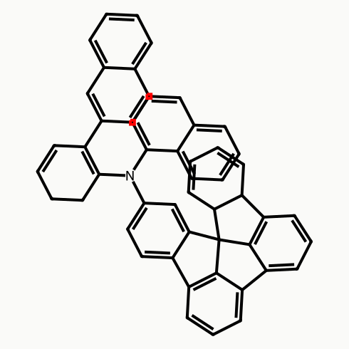 C1=CC2c3cccc4c3C3(c5cc(N(C6=C(c7ccc8ccccc8c7)C=CCC6)c6cccc7ccccc67)ccc5-c5cccc-4c53)C2C=C1